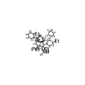 CCc1ccc2c(c1-c1ccccc1)C=C(C(C)C)[CH]2[Zr]([Cl])([Cl])([CH]1C(C(C)C)=Cc2c1ccc(CC)c2-c1ccccc1)[SiH](C)C